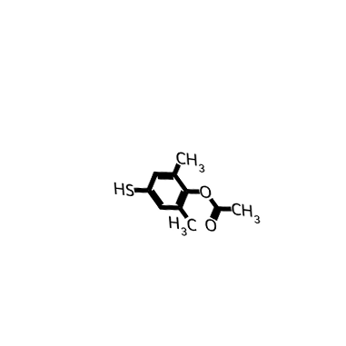 CC(=O)Oc1c(C)cc(S)cc1C